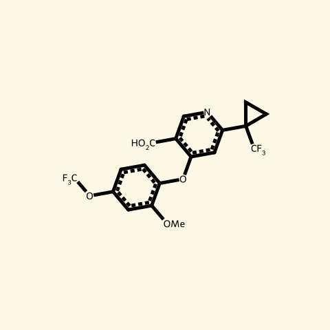 COc1cc(OC(F)(F)F)ccc1Oc1cc(C2(C(F)(F)F)CC2)ncc1C(=O)O